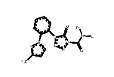 CCN(CC)C(=O)n1nnn(-c2ccccc2-n2ccc(C(F)(F)F)n2)c1=O